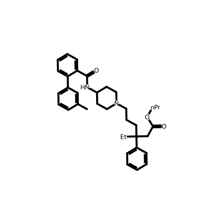 CCCOC(=O)CC(CC)(CCCN1CCC(NC(=O)c2ccccc2-c2cccc(C)c2)CC1)c1ccccc1